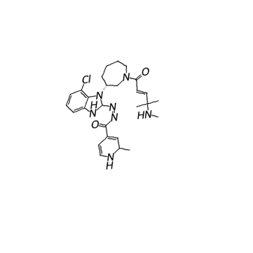 CNC(C)(C)/C=C/C(=O)N1CCCC[C@@H](N2c3c(Cl)cccc3NC2N=NC(=O)C2=CC(C)NC=C2)C1